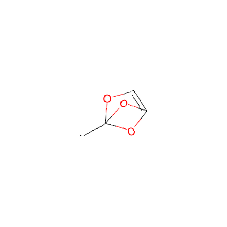 [CH2]C12OC=C(O1)O2